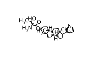 CC(O)[C@@H](N)C(=O)O[C@H]1CC[C@@]2(C)C(=CC[C@@H]3[C@@H]2CC[C@]2(C)C(c4cccnc4)=CC[C@@H]32)C1